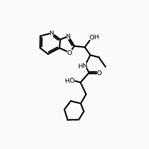 CCC(NC(=O)C(O)CC1CCCCC1)C(O)c1nc2ncccc2o1